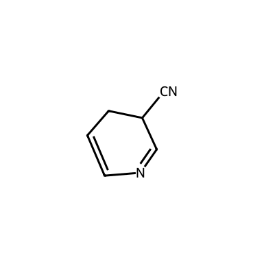 N#CC1C=NC=CC1